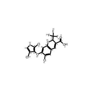 O=C(O)C1=Cc2cc(Cl)c(Oc3c(Cl)csc3Cl)cc2OC1C(F)(F)F